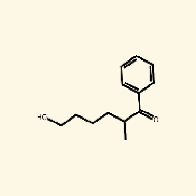 CC(CCCCO)C(=O)c1ccccc1